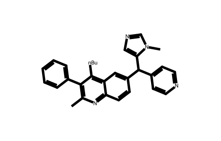 CCCCc1c(-c2ccccc2)c(C)nc2ccc(C(c3ccncc3)c3cncn3C)cc12